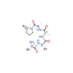 CC(=O)[C@@H]1CCCN1C(=O)[C@H](C)NC(=O)[C@H](C)NC(=O)[C@@H](NC(=O)[C@@H](N)C(C)C)C(C)C